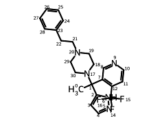 CC(c1ccn[nH]1)(c1cnccc1C(F)(F)F)N1CCN(CCc2ccccc2)CC1